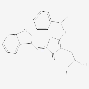 CCOC(O)CC1=C(NC(C)c2ccccc2)O/C(=C\C2CNc3ncccc32)C1=O